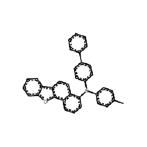 Cc1ccc(N(c2ccc(-c3ccccc3)cc2)c2cccc3c2ccc2c4ccccc4oc32)cc1